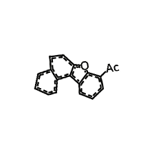 CC(=O)c1cccc2c1oc1ccc3ccccc3c12